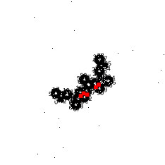 CC1(C)c2ccccc2-c2ccc(N(c3ccc4c(ccc5c6ccc(N(c7ccc8c(c7)C(C)(C)c7ccccc7-8)c7ccccc7-c7ccccc7)cc6c6ccccc6c45)c3)c3ccccc3-c3ccccc3)cc21